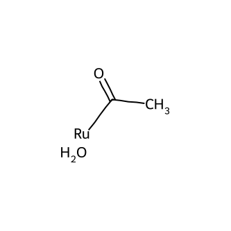 C[C](=O)[Ru].O